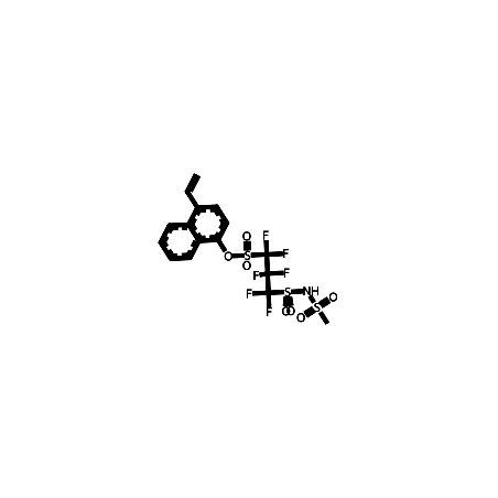 C=Cc1ccc(OS(=O)(=O)C(F)(F)C(F)(F)C(F)(F)S(=O)(=O)NS(C)(=O)=O)c2ccccc12